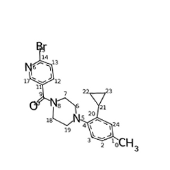 Cc1ccc(N2CCN(C(=O)c3ccc(Br)nc3)CC2)c(C2CC2)c1